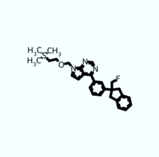 CS(C)(C)CCOCn1ccc2c(-c3cccc(C4(CF)Cc5ccccc5C4)c3)ncnc21